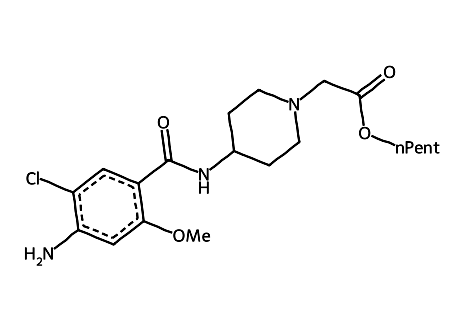 CCCCCOC(=O)CN1CCC(NC(=O)c2cc(Cl)c(N)cc2OC)CC1